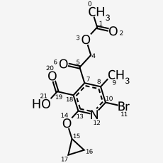 CC(=O)OCC(=O)c1c(C)c(Br)nc(OC2CC2)c1C(=O)O